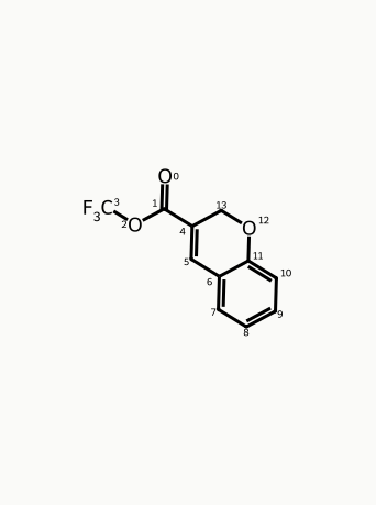 O=C(OC(F)(F)F)C1=Cc2ccccc2OC1